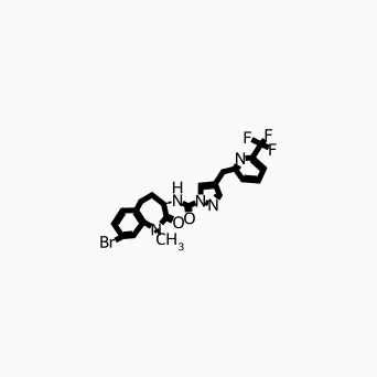 CN1C(=O)[C@@H](NC(=O)n2cc(Cc3cccc(C(F)(F)F)n3)cn2)CCc2ccc(Br)cc21